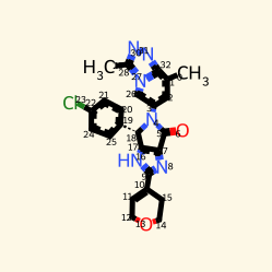 Cc1cc(N2C(=O)c3nc(C4=CCOCC4)[nH]c3[C@@H]2c2ccc(Cl)cc2)cn2c(C)nnc12